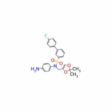 CC1(C)OC=C(CN(c2ccc(N)cc2)S(=O)(=O)c2cccc(-c3ccc(F)cc3)c2)O1